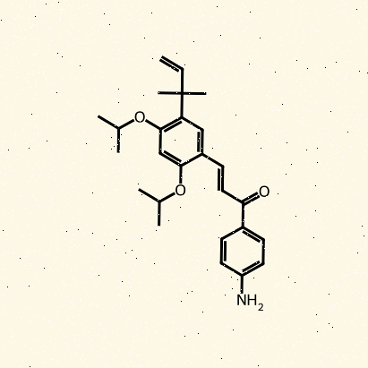 C=CC(C)(C)c1cc(C=CC(=O)c2ccc(N)cc2)c(OC(C)C)cc1OC(C)C